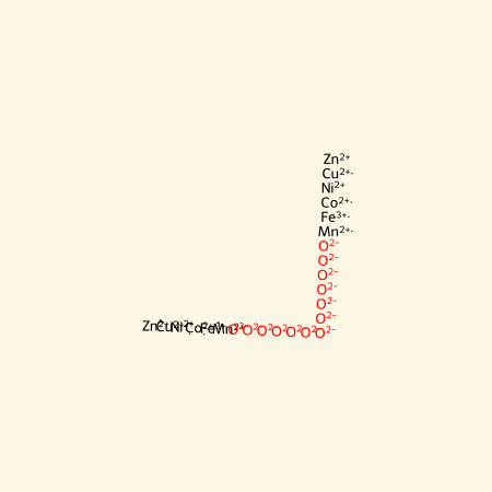 [Co+2].[Co+2].[Cu+2].[Cu+2].[Fe+3].[Fe+3].[Mn+2].[Mn+2].[Ni+2].[Ni+2].[O-2].[O-2].[O-2].[O-2].[O-2].[O-2].[O-2].[O-2].[O-2].[O-2].[O-2].[O-2].[O-2].[Zn+2].[Zn+2]